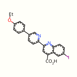 CCOc1ccc(-c2ccc(-c3cc(C(=O)O)c4cc(I)ccc4n3)nc2)cc1